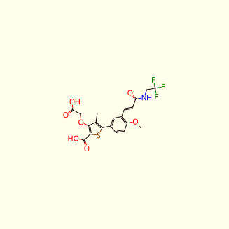 COc1ccc(-c2sc(C(=O)O)c(OCC(=O)O)c2C)cc1C=CC(=O)NCC(F)(F)F